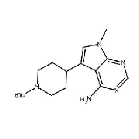 Cn1cc(C2CCN(C(C)(C)C)CC2)c2c(N)ncnc21